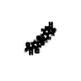 CC(=O)Nc1ccc(S(=O)(=O)N2CCc3c(cnc4[nH]ncc34)C2)cc1Cl